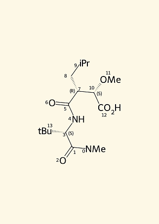 CNC(=O)[C@@H](NC(=O)[C@H](CC(C)C)[C@H](OC)C(=O)O)C(C)(C)C